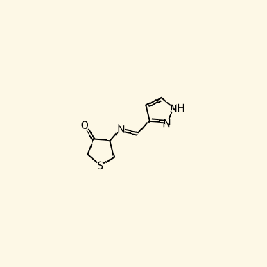 O=C1CSCC1N=Cc1cc[nH]n1